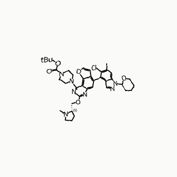 Cc1cc2c(cnn2C2CCCCO2)c(-c2cc3nc(OC[C@@H]4CCCN4C)nc(N4CCN(C(=O)OC(C)(C)C)CC4)c3c3occc23)c1Cl